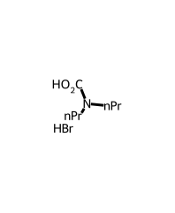 Br.CCCN(CCC)C(=O)O